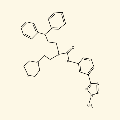 Cn1nnc(-c2cccc(NC(=O)N(CCC(c3ccccc3)c3ccccc3)CCN3CCSCC3)c2)n1